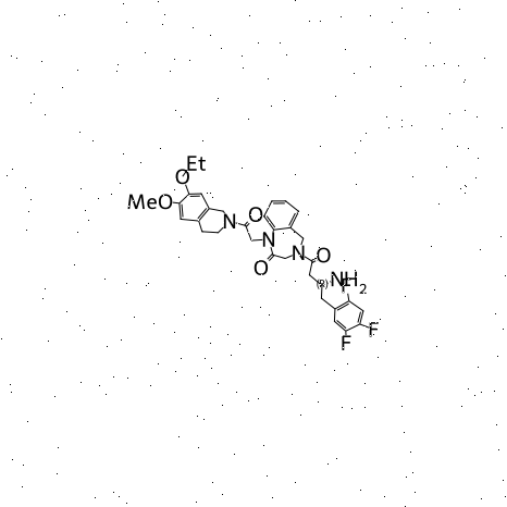 CCOc1cc2c(cc1OC)CCN(C(=O)CN1C(=O)CN(C(=O)C[C@H](N)Cc3cc(F)c(F)cc3F)Cc3ccccc31)C2